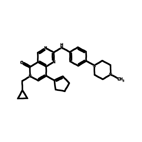 CN1CCN(c2ccc(Nc3ncc4c(=O)n(CC5CC5)cc(C5=CCCC5)c4n3)cc2)CC1